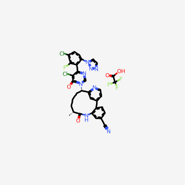 C[C@@H]1CCC[C@H](n2cnc(-c3c(-n4ccnn4)ccc(Cl)c3F)c(Cl)c2=O)c2cc(ccn2)-c2ccc(C#N)cc2NC1=O.O=C(O)C(F)(F)F